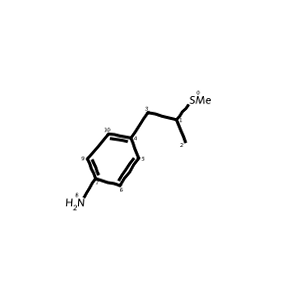 CSC(C)Cc1ccc(N)cc1